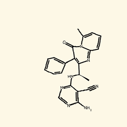 Cc1cccc2nc([C@@H](C)Nc3ncnc(N)c3C#N)c(-c3ccccc3)c(=O)n12